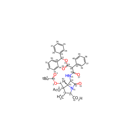 CC(=O)OC1(COC(=O)C(C)(C)C)C(C)C(C(=O)O)N2C(=O)C(NC(=O)C(C(=O)OC(c3ccccc3)c3ccccc3)c3ccccc3)[C@H]21